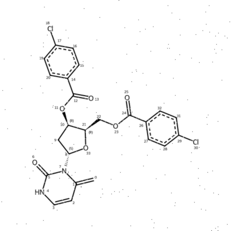 C=C1C=CNC(=O)N1[C@@H]1C[C@@H](OC(=O)c2ccc(Cl)cc2)[C@@H](COC(=O)c2ccc(Cl)cc2)O1